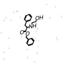 O=C(OCc1ccccc1)C(Cc1ccccc1)NCCO